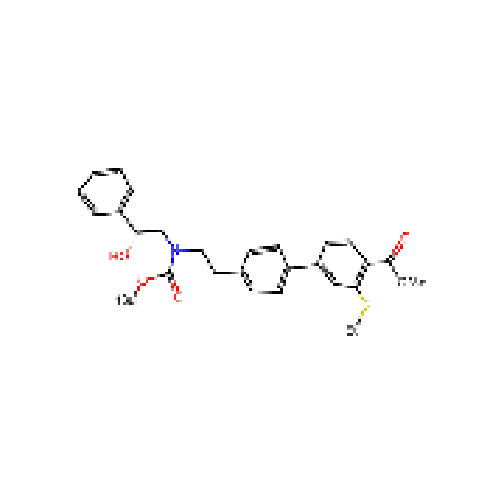 CCSc1cc(-c2ccc(CCN(C[C@H](O)c3ccccc3)C(=O)OC(C)(C)C)cc2)ccc1C(=O)OC